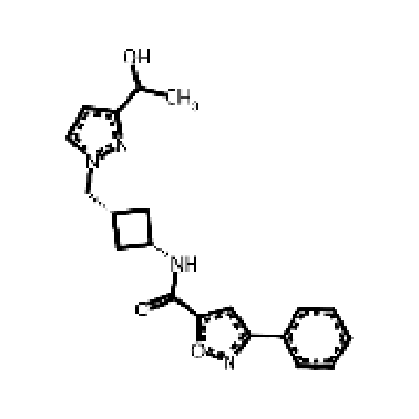 CC(O)c1ccn(C[C@H]2C[C@@H](NC(=O)c3cc(-c4ccccc4)no3)C2)n1